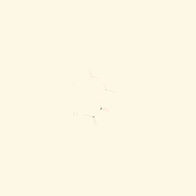 C=C(C)C(=O)OC(C)OC(CCC)S(=O)(=O)O